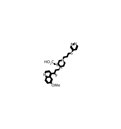 COc1ccc2nccc([C@H](F)CC[C@@H]3CCN(CCCSc4ccnnc4)C[C@@H]3CC(=O)O)c2c1